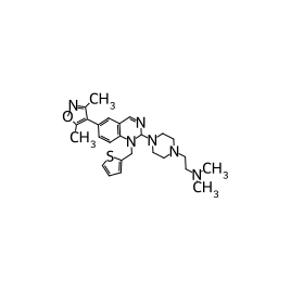 Cc1noc(C)c1-c1ccc2c(c1)C=NC(N1CCN(CCN(C)C)CC1)N2Cc1cccs1